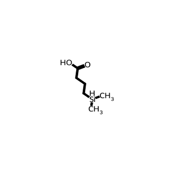 C[SiH](C)CCCC(=O)O